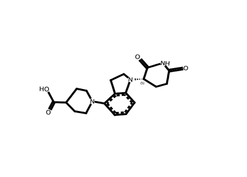 O=C1CC[C@H](N2CCc3c(N4CCC(C(=O)O)CC4)cccc32)C(=O)N1